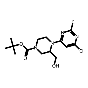 CC(C)(C)OC(=O)N1CCN(c2cc(Cl)nc(Cl)n2)C(CO)C1